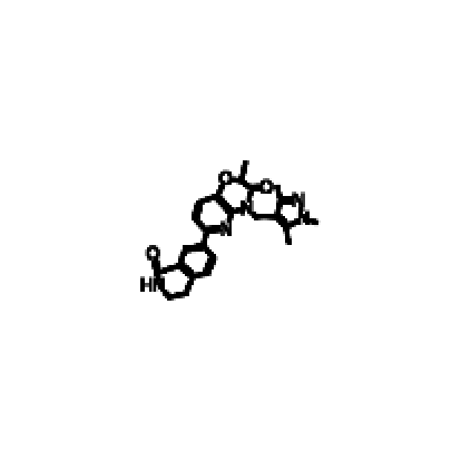 Cc1nn(C)c(C)c1CN1C(=O)C(C)Oc2ccc(-c3ccc4c(c3)C(=O)NCC4)nc21